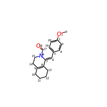 COc1ccc(/C=C2/C3=C(CCCC3)CCN2C=O)cc1